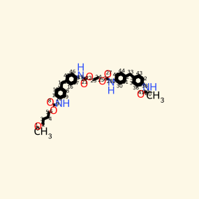 COCCCCOC(=O)Nc1ccc(Cc2ccc(NC(=O)OCCOC(=O)Nc3ccc(Cc4ccc(NC(C)=O)cc4)cc3)cc2)cc1